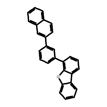 c1cc(-c2ccc3ccccc3c2)cc(-c2cccc3c2oc2ccccc23)c1